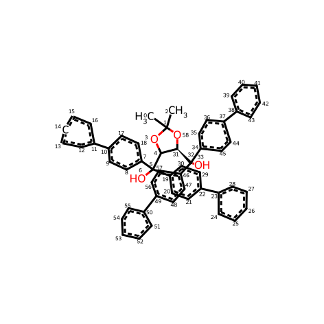 CC1(C)OC(C(O)(c2ccc(-c3ccccc3)cc2)c2ccc(-c3ccccc3)cc2)[C@H](C(O)(c2ccc(-c3ccccc3)cc2)c2ccc(-c3ccccc3)cc2)O1